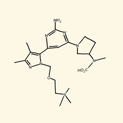 Cc1nn(COCC[Si](C)(C)C)c(-c2cc(N3CCC(N(C)C(=O)O)C3)nc(N)n2)c1C